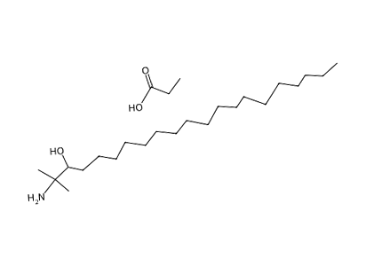 CCC(=O)O.CCCCCCCCCCCCCCCCCCC(O)C(C)(C)N